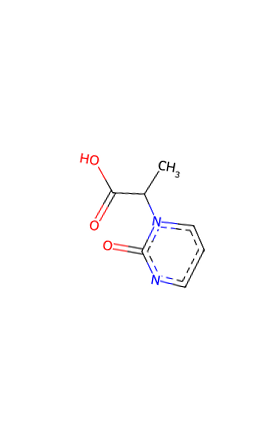 CC(C(=O)O)n1cccnc1=O